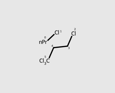 CCCCl.ClCCC(Cl)(Cl)Cl